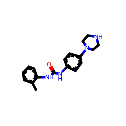 Cc1ccccc1NC(=O)Nc1ccc(N2CCNCC2)cc1